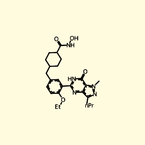 CCCc1nn(C)c2c(=O)[nH]c(-c3cc(CC4CCC(C(=O)NO)CC4)ccc3OCC)nc12